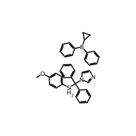 COc1ccc([SiH2]C(c2ccccc2)(c2ccccc2)n2ccnc2)cc1.c1ccc(B(c2ccccc2)C2CC2)cc1